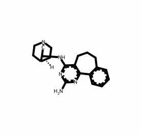 Nc1nc(N[C@@H]2CN3CCC2CC3)c2c(n1)-c1ccccc1CCC2